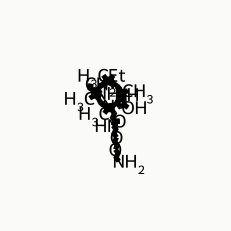 C=Cc1c(C)c2cc3nc(c4c5[nH]c(cc6nc(cc1[nH]2)C(C)=C6CC)c(C)c5C(O)C4)C(CCC(=O)NCCOCCOCCN)=C3C